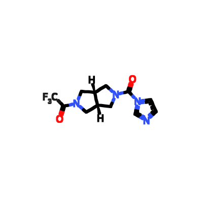 O=C(N1C[C@@H]2CN(C(=O)C(F)(F)F)C[C@@H]2C1)n1ccnc1